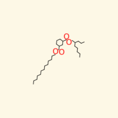 CCCCCCCCCCCCCOC(=O)C1CCCC(C(=O)OCC(CCC)CCCCC)C1